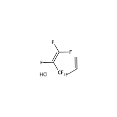 C=CF.Cl.FC(F)=C(F)C(F)(F)F